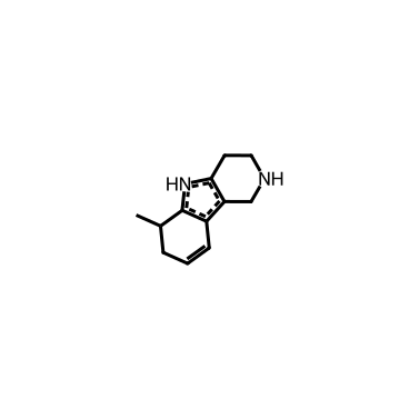 CC1CC=Cc2c1[nH]c1c2CNCC1